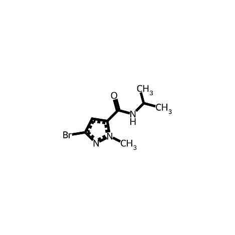 CC(C)NC(=O)c1cc(Br)nn1C